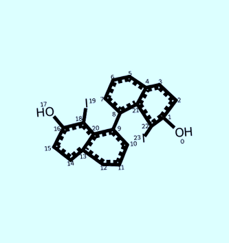 Oc1ccc2cccc(-c3cccc4ccc(O)c(I)c34)c2c1I